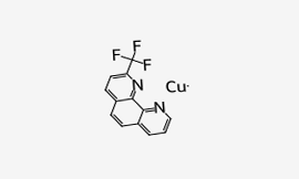 FC(F)(F)c1ccc2ccc3cccnc3c2n1.[Cu]